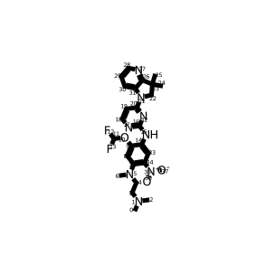 CN(C)CCN(C)c1cc(OC(F)F)c(Nc2nccc(N3CC(C)(C)c4ncccc43)n2)cc1[N+](=O)[O-]